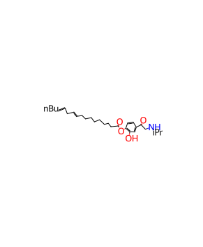 CCCCC=CCC=CCCCCCCCCC(=O)Oc1ccc(C(=O)CNC(C)C)cc1O